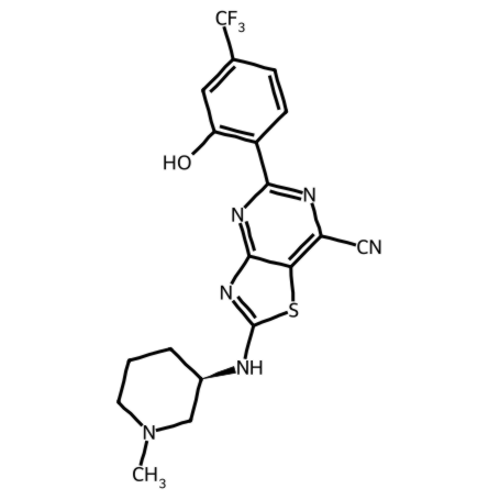 CN1CCC[C@@H](Nc2nc3nc(-c4ccc(C(F)(F)F)cc4O)nc(C#N)c3s2)C1